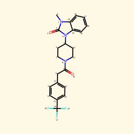 Cn1c(=O)n(C2CCN(C(=O)Cc3ccc(C(F)(F)F)cc3)CC2)c2ccccc21